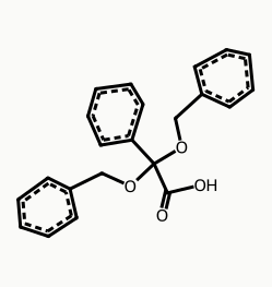 O=C(O)C(OCc1ccccc1)(OCc1ccccc1)c1ccccc1